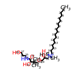 CCCCCCCCCCCCCCCCCC[N+](C)(C)CC(O)COCC(C)(C)C(O)C(=O)NCCCO